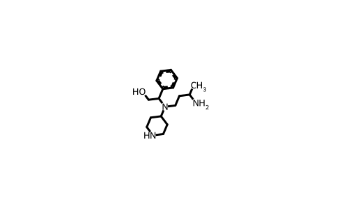 CC(N)CCN(C1CCNCC1)C(CO)c1ccccc1